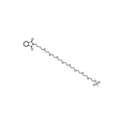 CS(=O)(=O)OCCOCCOCCOCCOCCOCCOCCOCCOCCCCN1C(=O)c2ccccc2C1=O